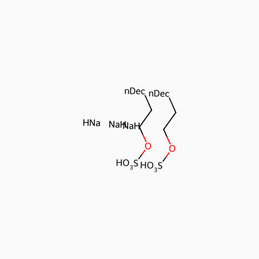 CCCCCCCCCCCCOS(=O)(=O)O.CCCCCCCCCCCCOS(=O)(=O)O.[NaH].[NaH].[NaH]